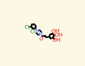 O=C(/C=C/c1cc(O)c(O)c(O)c1)N1CCN(c2cccc(Cl)c2Cl)CC1